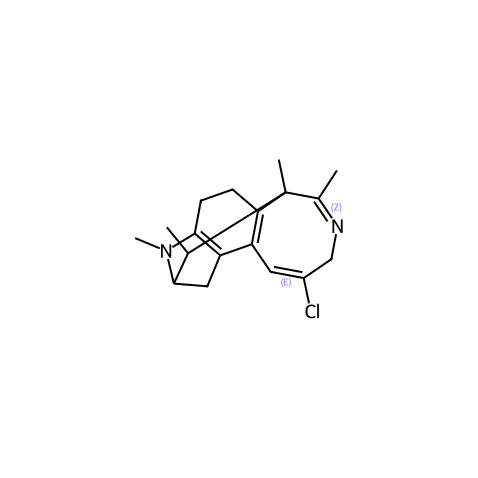 C/C1=N/C/C(Cl)=C\C2=C3CCC4=C2CC(C(C)C31C)N4C